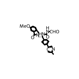 COc1ccc2c(c1)C(=O)N(C[C@H](NC(=O)NC=O)c1ccc(-c3ccc(C)nc3)cc1)C2